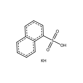 O=S(=O)(O)c1cccc2ccccc12.[KH]